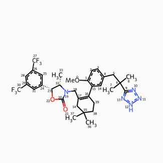 COc1ccc(CC(C)(C)c2nn[nH]n2)cc1C1=C(CN2C(=O)O[C@H](c3cc(C(F)(F)F)cc(C(F)(F)F)c3)[C@@H]2C)CC(C)(C)CC1